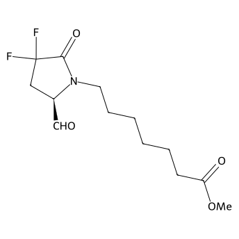 COC(=O)CCCCCCN1C(=O)C(F)(F)C[C@@H]1C=O